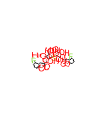 O=c1oc2cccc(F)c2cc1CO[C@H]1[C@@H](O)[C@@H](CO)O[C@@H](S[C@@H]2O[C@H](CO)[C@H](O)[C@H](OCc3cc4c(F)cccc4oc3=O)[C@H]2O)[C@@H]1O